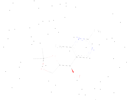 CC1(C)OCC([C@H](O)c2cnc(C(C)(C)C)nc2C(C)(C)C)O1